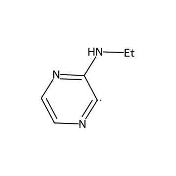 CCNc1[c]nccn1